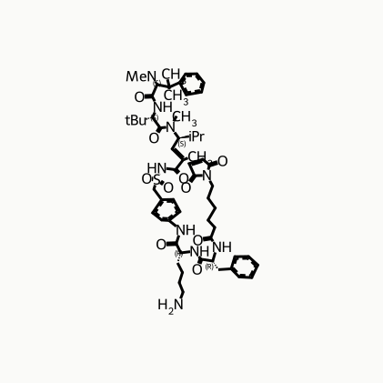 CN[C@H](C(=O)N[C@H](C(=O)N(C)[C@H](C=C(C)C(=O)NS(=O)(=O)Cc1ccc(NC(=O)[C@@H](CCCCN)NC(=O)[C@@H](Cc2ccccc2)NC(=O)CCCCCN2C(=O)C=CC2=O)cc1)C(C)C)C(C)(C)C)C(C)(C)c1ccccc1